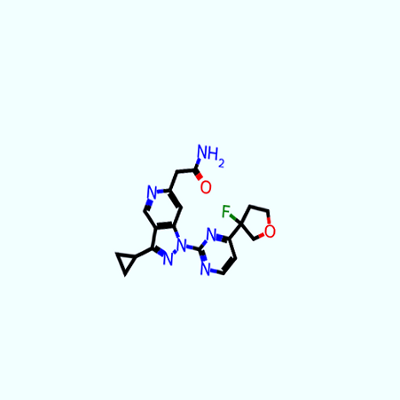 NC(=O)Cc1cc2c(cn1)c(C1CC1)nn2-c1nccc(C2(F)CCOC2)n1